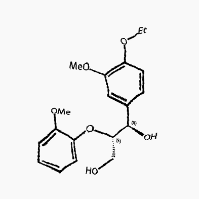 CCOc1ccc([C@@H](O)[C@H](CO)Oc2ccccc2OC)cc1OC